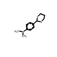 CN(C)c1ccc(C2SCCCS2)cc1